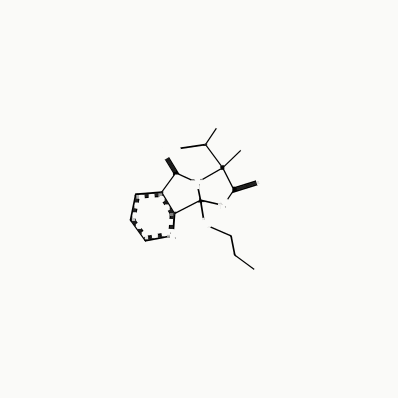 CCCOC12NC(=O)C(C)(C(C)C)N1C(=O)c1cccnc12